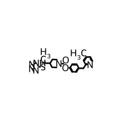 Cc1ccnc(Cc2ccc(OC(=O)N3CCC(C(C)Sc4nnn[nH]4)CC3)cc2)c1